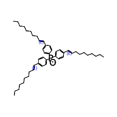 CCCCCCCC/C=C/c1ccc(P(=O)(c2ccc(/C=C/CCCCCCCC)cc2)c2ccc(/C=C/CCCCCCCC)cc2)cc1